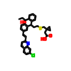 CCC(O)c1ccccc1C(CCSCC1(CC(=O)O)CC1)c1cccc(/C=C/c2ccc3ccc(Cl)cc3n2)c1